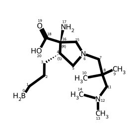 BCCC[C@H]1CN(CC(C)(C)CN(C)C)C[C@@]1(N)C(=O)O